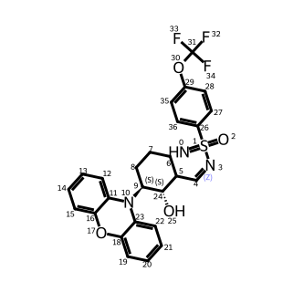 N=S(=O)(/N=C\C1CCC[C@H](N2c3ccccc3Oc3ccccc32)[C@H]1O)c1ccc(OC(F)(F)F)cc1